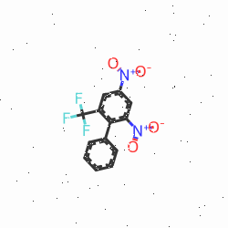 O=[N+]([O-])c1cc([N+](=O)[O-])c(-c2ccccc2)c(C(F)(F)F)c1